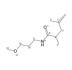 C=C(C)CC(C)C(=O)NCCCOC